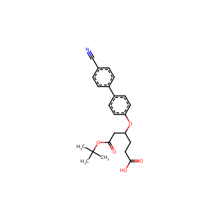 CC(C)(C)OC(=O)CC(CCC(=O)O)Oc1ccc(-c2ccc(C#N)cc2)cc1